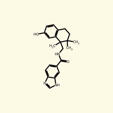 CC1(C)CCc2ccc(O)cc2C1(C)CNC(=O)c1ccc2nc[nH]c2c1